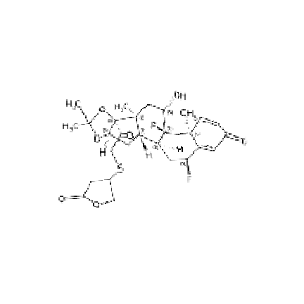 CC1(C)O[C@@H]2C[C@H]3[C@@H]4C[C@H](F)C5=CC(=O)C=C[C@]5(C)[C@@]4(F)[C@@H](O)C[C@]3(C)[C@]2(C(=O)CSC2COC(=O)C2)O1